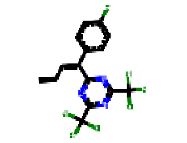 C=CC=C(c1ccc(Cl)cc1)c1nc(C(Cl)(Cl)Cl)nc(C(Cl)(Cl)Cl)n1